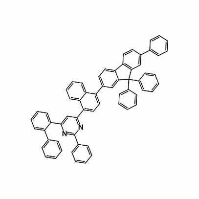 c1ccc(-c2ccc3c(c2)C(c2ccccc2)(c2ccccc2)c2cc(-c4ccc(-c5cc(-c6ccccc6-c6ccccc6)nc(-c6ccccc6)n5)c5ccccc45)ccc2-3)cc1